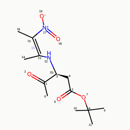 CC(=O)[C@H](CC(=O)OC(C)(C)C)N/C(C)=C(/C)[N+](=O)[O-]